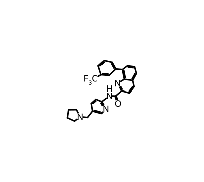 O=C(Nc1ccc(CN2CCCC2)cn1)c1ccc2cccc(-c3cccc(C(F)(F)F)c3)c2n1